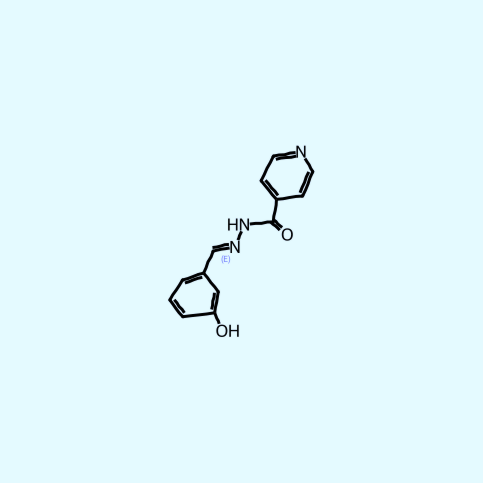 O=C(N/N=C/c1cccc(O)c1)c1ccncc1